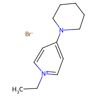 CC[n+]1ccc(N2CCCCC2)cc1.[Br-]